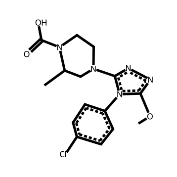 COc1nnc(N2CCN(C(=O)O)C(C)C2)n1-c1ccc(Cl)cc1